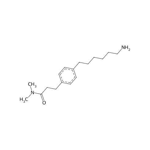 CN(C)C(=O)CCc1ccc(CCCCCCN)cc1